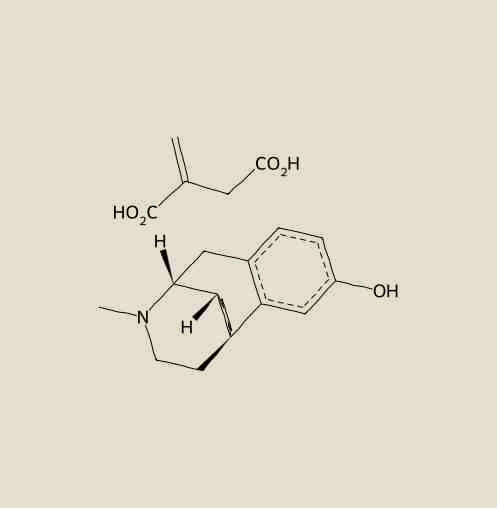 C=C(CC(=O)O)C(=O)O.CN1CC[C@]23CCCC[C@H]2[C@H]1Cc1ccc(O)cc13